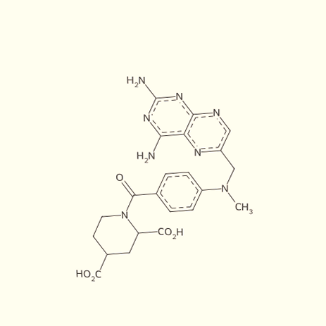 CN(Cc1cnc2nc(N)nc(N)c2n1)c1ccc(C(=O)N2CCC(C(=O)O)CC2C(=O)O)cc1